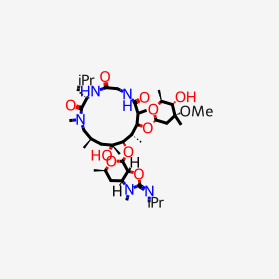 CO[C@]1(C)C[C@H](OC2C(C)C(=O)NCC(=O)N[C@@H](CC(C)C)C(=O)N(C)C[C@H](C)C[C@@](C)(O)[C@H](OC3O[C@H](C)C[C@H]4[C@H]3O/C(=N/C(C)C)N4C)[C@H]2C)O[C@@H](C)[C@@H]1O